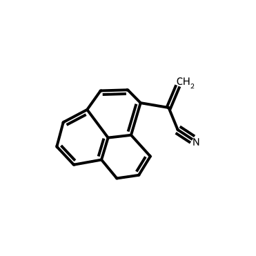 C=C(C#N)c1ccc2cccc3c2c1C=CC3